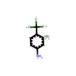 Br.Nc1ccc(C(F)(F)F)cc1